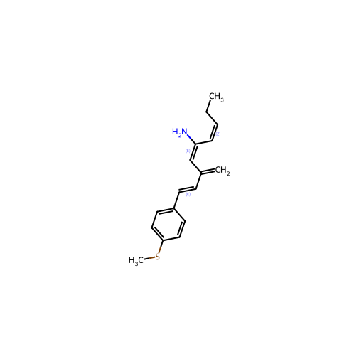 C=C(/C=C/c1ccc(SC)cc1)/C=C(N)\C=C/CC